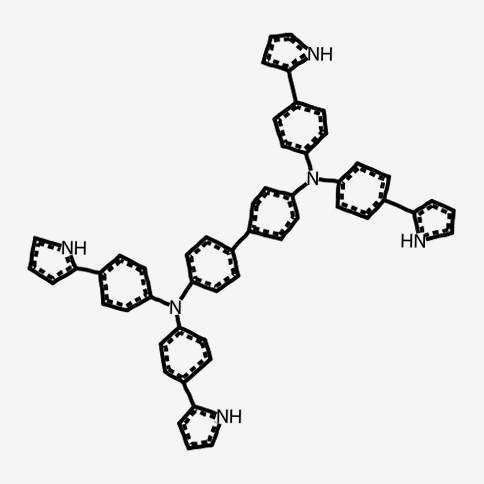 c1c[nH]c(-c2ccc(N(c3ccc(-c4ccc(N(c5ccc(-c6ccc[nH]6)cc5)c5ccc(-c6ccc[nH]6)cc5)cc4)cc3)c3ccc(-c4ccc[nH]4)cc3)cc2)c1